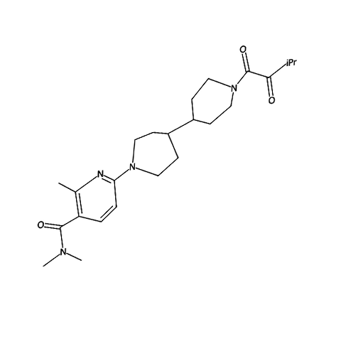 Cc1nc(N2CCC(C3CCN(C(=O)C(=O)C(C)C)CC3)CC2)ccc1C(=O)N(C)C